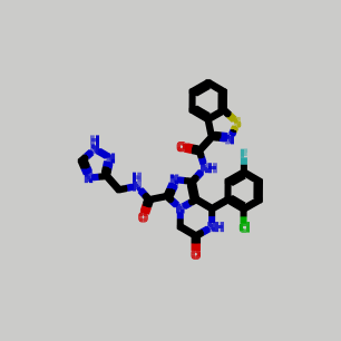 O=C1Cn2c(C(=O)NCc3nc[nH]n3)nc(NC(=O)c3nsc4ccccc34)c2C(c2cc(F)ccc2Cl)N1